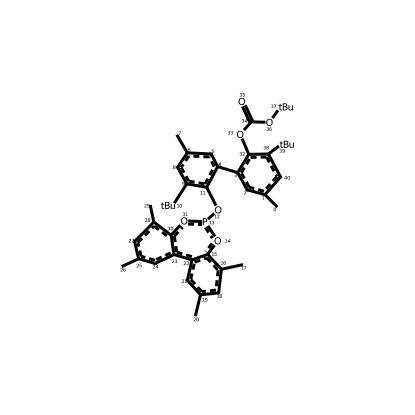 Cc1cc(-c2cc(C)cc(C(C)(C)C)c2Op2oc3c(C)cc(C)cc3c3cc(C)cc(C)c3o2)c(OC(=O)OC(C)(C)C)c(C(C)(C)C)c1